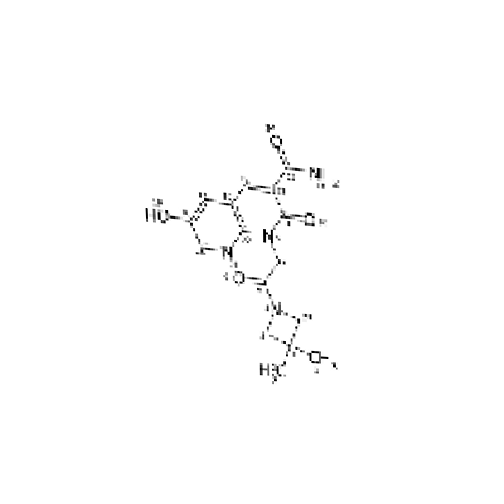 CC1(C)CN(C(=O)Cn2c(=O)c(C(N)=O)cc3cc(O)cnc32)C1